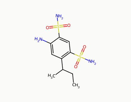 CCC(C)c1cc(N)c(S(N)(=O)=O)cc1S(N)(=O)=O